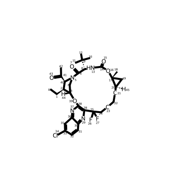 CC[C@@H]1[C@@H]2CN(C(=O)[C@H](C(C)(C)C)NC(=O)O[C@]3(C)C[C@H]3CCCCC(F)(F)c3nc4ccc(Cl)cc4nc3O2)[C@@H]1C(C)=O